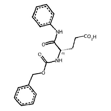 O=C(O)CC[C@H](NC(=O)OCc1ccccc1)C(=O)Nc1ccccc1